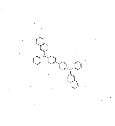 C1=CC2C=CC(N(c3ccccc3)c3ccc(-c4ccc(N(C5=CC6=C(C=CCC6)CC5)c5ccccc5)cc4)cc3)=CC2C=C1